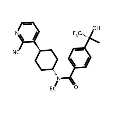 CCN(C(=O)c1ccc([C@](C)(O)C(F)(F)F)cc1)[C@H]1CC[C@H](c2cccnc2C#N)CC1